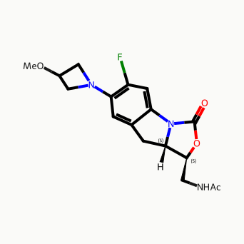 COC1CN(c2cc3c(cc2F)N2C(=O)O[C@@H](CNC(C)=O)[C@@H]2C3)C1